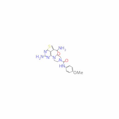 COc1ccc(NC(=O)N2CCN(c3nc(N)nc4scc(C(N)=O)c34)CC2)cc1